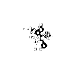 C[C@H](Cc1cccc(C=O)c1)N(C(=O)O)[C@](C)(O[Si](C)(C)C(C)(C)C)c1ccc(OC(=O)OC(C)(C)C)c2[nH]c(=O)ccc12